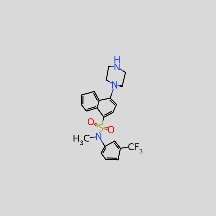 CN(c1cccc(C(F)(F)F)c1)S(=O)(=O)c1ccc(N2CCNCC2)c2ccccc12